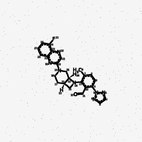 Cc1ccc(-n2nccn2)c(C=O)c1N1C[C@H]2CCN(c3cnc4c(F)cccc4n3)C[C@H]21